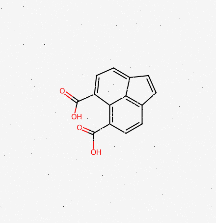 O=C(O)c1ccc2c3c(ccc(C(=O)O)c13)C=C2